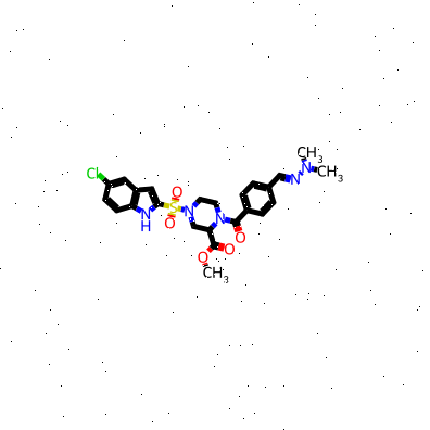 COC(=O)C1CN(S(=O)(=O)c2cc3cc(Cl)ccc3[nH]2)CCN1C(=O)c1ccc(C=NN(C)C)cc1